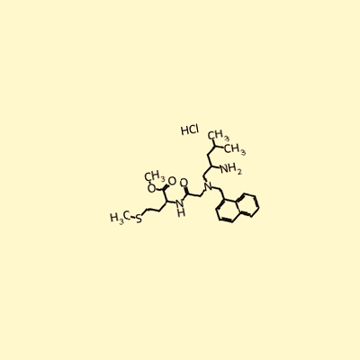 COC(=O)C(CCSC)NC(=O)CN(Cc1cccc2ccccc12)CC(N)CC(C)C.Cl